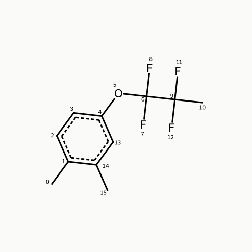 Cc1ccc(OC(F)(F)C(C)(F)F)cc1C